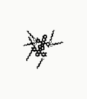 CCCCCCCCOc1cc(-c2c3c(c(-c4cc(CCCCCCCC)c(C)c(CCCCCCCC)c4)c4ccccc24)-c2ccc4c5c(ccc-3c25)-c2c-4c(-c3cc(C)c(OCCCCCCCC)c(OCCCCCCCC)c3)c3cc4ccccc4cc3c2-c2cc(C)c(OCCCCCCCC)c(OCCCCCCCC)c2)cc(C)c1C